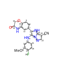 COc1cc(Nc2c(-c3ccc4c(c3)NC(=O)CO4)[nH]c3c(C#N)cnn23)ccc1F